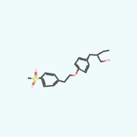 CCC(CO)Cc1ccc(OCCc2ccc(S(C)(=O)=O)cc2)cc1